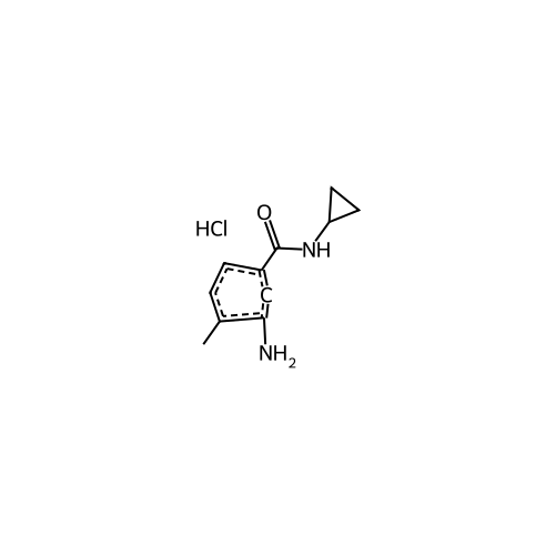 Cc1ccc(C(=O)NC2CC2)cc1N.Cl